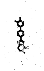 Cc1ccc(-c2ccc(-c3cn4c(n3)CCN(C)C4=O)cc2)cc1C